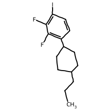 CCCC1CCC(c2ccc(I)c(F)c2F)CC1